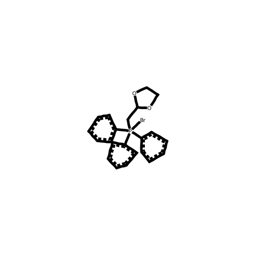 BrP(CC1OCCO1)(c1ccccc1)(c1ccccc1)c1ccccc1